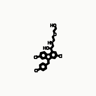 OCCOCCNCC(O)c1cc(Cl)cc2c1-c1ccc(Cl)cc1C2=Cc1ccc(Cl)cc1